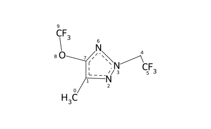 Cc1nn(CC(F)(F)F)nc1OC(F)(F)F